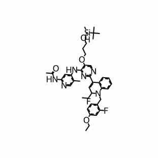 CCOc1cc(F)c(CN2c3ccccc3C(c3ncc(OCCCO[SiH](C)C(C)(C)C)c(Nc4cc(NC(C)=O)ncc4C)n3)=CC2CC)c(F)c1